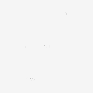 COCCC(=O)NCCCC(C)C